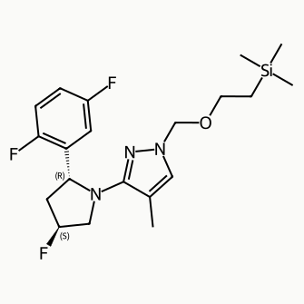 Cc1cn(COCC[Si](C)(C)C)nc1N1C[C@@H](F)C[C@@H]1c1cc(F)ccc1F